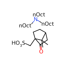 CC1(C)C2CCC1(CS(=O)(=O)O)C(=O)C2.CCCCCCCCN(CCCCCCCC)CCCCCCCC